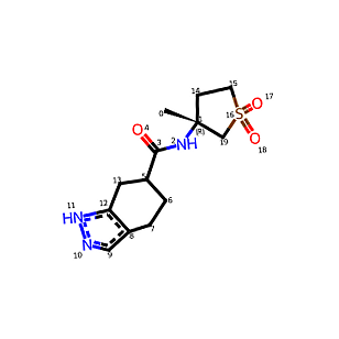 C[C@@]1(NC(=O)C2CCc3cn[nH]c3C2)CCS(=O)(=O)C1